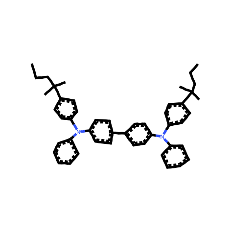 CCCC(C)(C)c1ccc(N(c2ccccc2)c2ccc(-c3ccc(N(c4ccccc4)c4ccc(C(C)(C)CCC)cc4)cc3)cc2)cc1